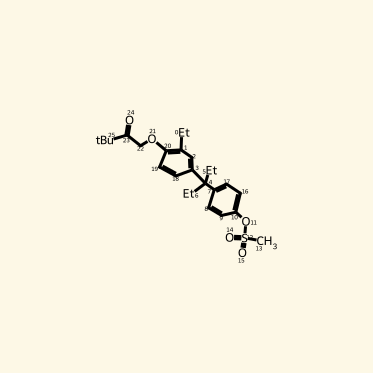 CCc1cc(C(CC)(CC)c2ccc(OS(C)(=O)=O)cc2)ccc1OCC(=O)C(C)(C)C